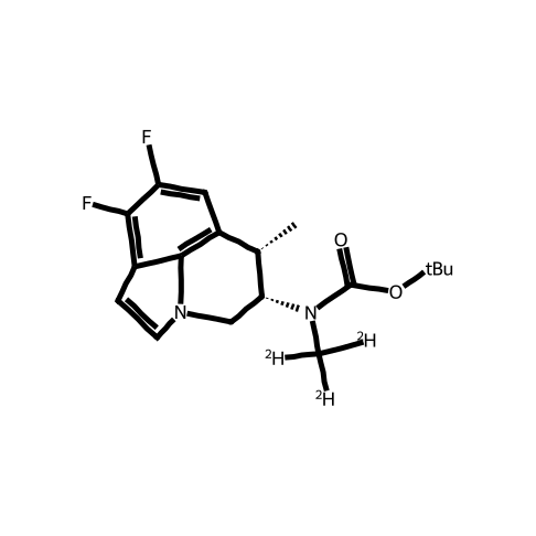 [2H]C([2H])([2H])N(C(=O)OC(C)(C)C)[C@@H]1Cn2ccc3c(F)c(F)cc(c32)[C@@H]1C